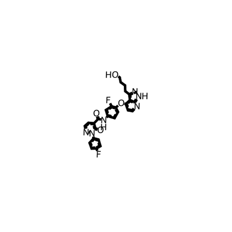 O=C(Nc1ccc(Oc2ccnc3[nH]nc(CCCCO)c23)c(F)c1)c1ccnn(-c2ccc(F)cc2)c1=O